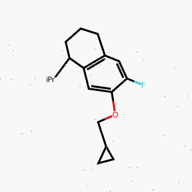 CC(C)C1CCCc2cc(F)c(OCC3CC3)cc21